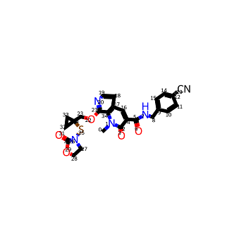 Cn1c(=O)c(C(=O)NCc2ccc(C#N)cc2)cc2ccnc(OCC3(SN4CCOC4=O)CC3)c21